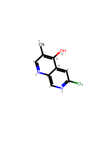 N#Cc1cnc2cnc(Cl)cc2c1O